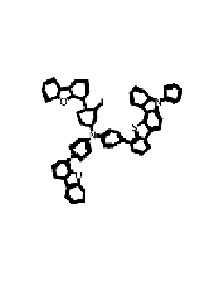 IC1CC(N(c2ccc(C3=C4OC5=C(C=CCC5)C4CC=C3)cc2)c2ccc(-c3cccc4c3sc3c5c(ccc34)N(c3ccccc3)C3C=CC=CC53)cc2)CCC1C1C=CCC2C3C=CC=CC3OC12